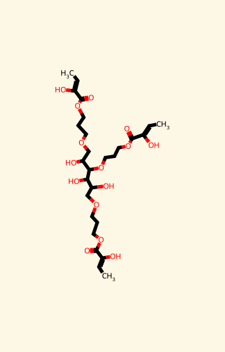 CC=C(O)C(=O)OCCCOCC(O)C(O)C(OCCCOC(=O)C(O)=CC)C(O)COCCCOC(=O)C(O)=CC